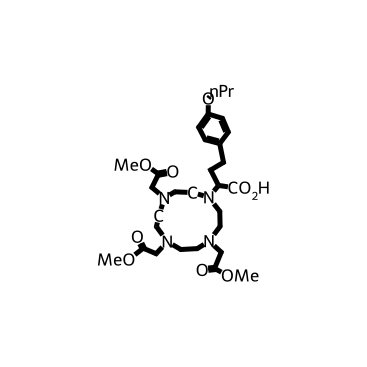 CCCOc1ccc(CCC(C(=O)O)N2CCN(CC(=O)OC)CCN(CC(=O)OC)CCN(CC(=O)OC)CC2)cc1